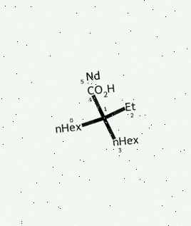 CCCCCCC(CC)(CCCCCC)C(=O)O.[Nd]